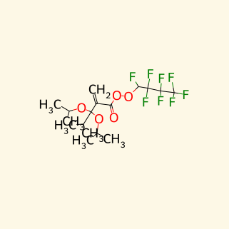 C=C(C(=O)OOC(F)C(F)(F)C(F)(F)C(F)(F)F)C(OC(C)C)(OC(C)C)C(C)C